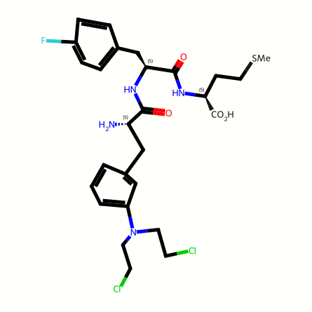 CSCC[C@H](NC(=O)[C@H](Cc1ccc(F)cc1)NC(=O)[C@@H](N)Cc1cccc(N(CCCl)CCCl)c1)C(=O)O